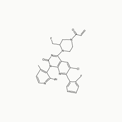 C=CC(=O)N1CCN(c2nc(=O)n(-c3c(C)ccnc3C(C)C)c3nc(-c4ccccc4F)c(Cl)cc23)C(CF)C1